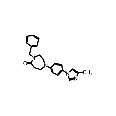 Cc1cn(-c2ccc(N3CCC(=O)N(Cc4ccccc4)CC3)cc2)cn1